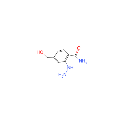 NNc1cc(CO)ccc1C(N)=O